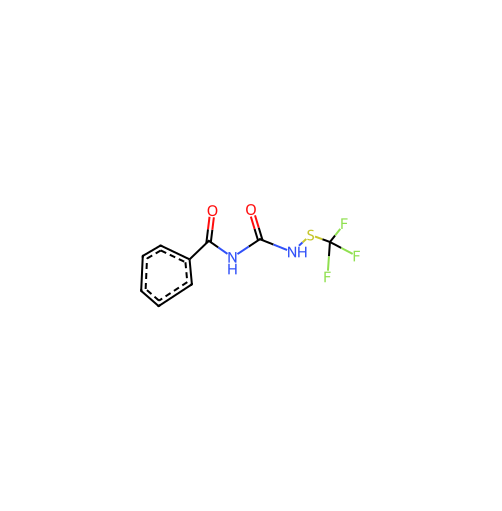 O=C(NSC(F)(F)F)NC(=O)c1ccccc1